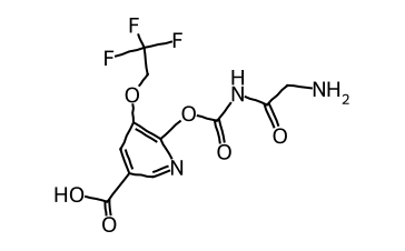 NCC(=O)NC(=O)Oc1ncc(C(=O)O)cc1OCC(F)(F)F